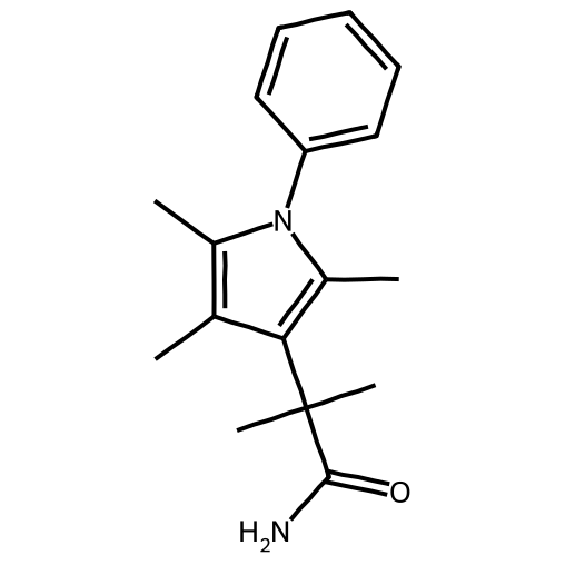 Cc1c(C(C)(C)C(N)=O)c(C)n(-c2ccccc2)c1C